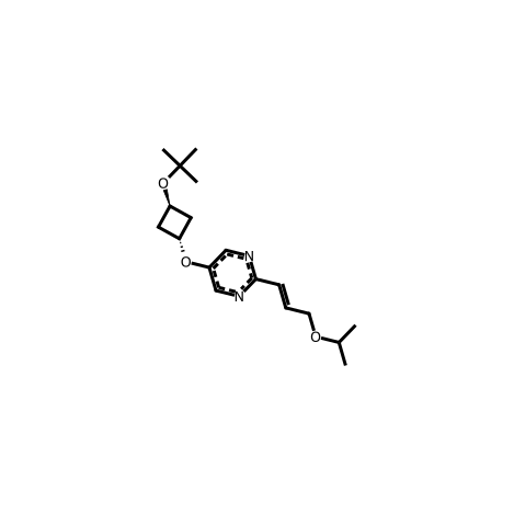 CC(C)OC/C=C/c1ncc(O[C@H]2C[C@H](OC(C)(C)C)C2)cn1